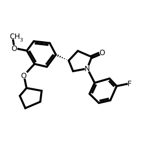 COc1ccc([C@@H]2CC(=O)N(c3cccc(F)c3)C2)cc1OC1CCCC1